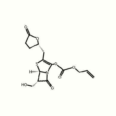 C=CCOC(=O)OC1=C(C[C@@H]2CCC(=O)O2)S[C@@H]2[C@@H](CO)C(=O)N12